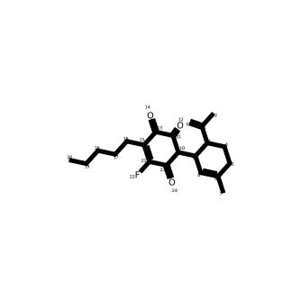 C=C(C)C1CCC(C)=CC1C1C(=O)C(=O)C(CCCCC)=C(F)C1=O